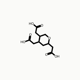 O=C(O)CC1CC(CC(=O)O)C(CC(=O)O)CO1